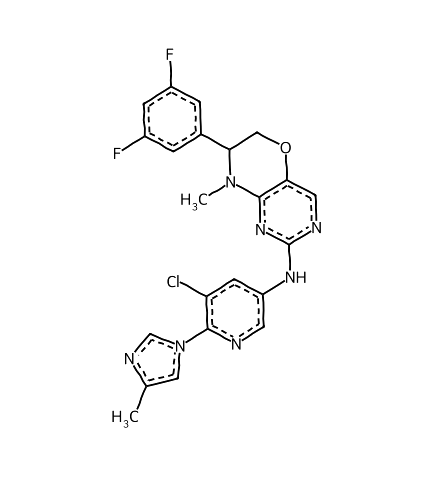 Cc1cn(-c2ncc(Nc3ncc4c(n3)N(C)C(c3cc(F)cc(F)c3)CO4)cc2Cl)cn1